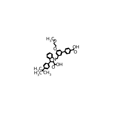 COCCOc1cc(CN2c3ccccc3C(c3ccc(C(C)(C)C)cc3)C2C(=O)O)cc(-c2ccc(C(=O)O)cc2)c1